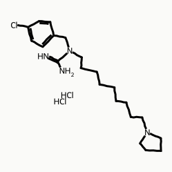 Cl.Cl.N=C(N)N(CCCCCCCCCN1CCCC1)Cc1ccc(Cl)cc1